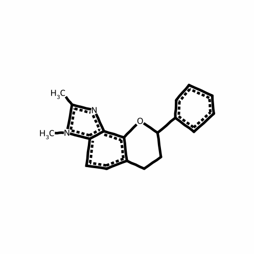 Cc1nc2c3c(ccc2n1C)CCC(c1ccccc1)O3